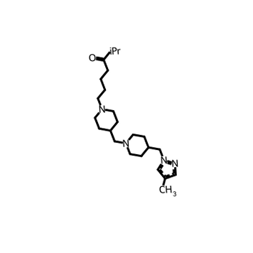 Cc1cnn(CC2CCN(CC3CCN(CCCCC(=O)C(C)C)CC3)CC2)c1